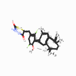 COc1c(F)cc(/C=C2/SC(=O)NC2=O)c(F)c1-c1cc2c(cc1C)C(C)(C)CCC2(C)C